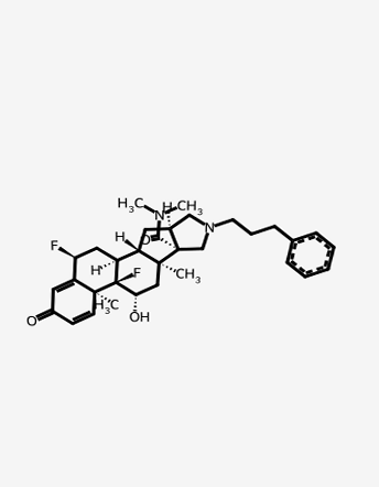 CN(C)C(=O)[C@@]12CN(CCCc3ccccc3)C[C@@H]1C[C@H]1[C@@H]3C[C@H](F)C4=CC(=O)C=C[C@]4(C)[C@@]3(F)[C@@H](O)C[C@@]12C